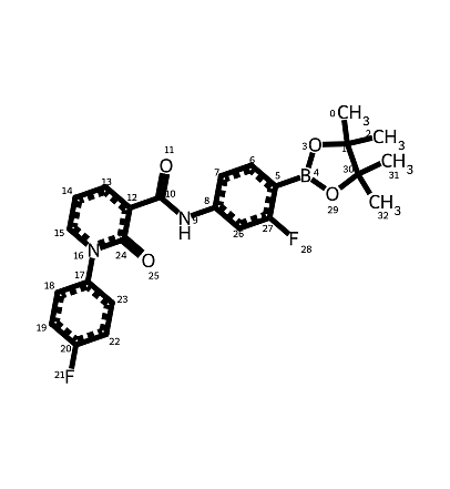 CC1(C)OB(c2ccc(NC(=O)c3cccn(-c4ccc(F)cc4)c3=O)cc2F)OC1(C)C